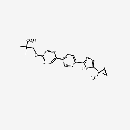 CC(C)(COc1cnc(-c2ccc(-c3ncc(C4(C(F)(F)F)CC4)[nH]3)cc2)cn1)C(=O)O